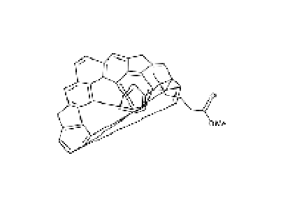 COC(=O)CCCC(C)(c1ccccc1)C12C=C3Cc4cc5ccc6cc7c8c9c(cc%10c%11c9c9c(c3c4c3c5c6c8c93)C%111C2=C%10)C7